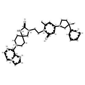 Cc1cc(N2CC[C@](C)(c3ccccc3)C2)cc(=O)n1CCN1CC2(CCN(c3nccn4ccnc34)CC2)NC1=O